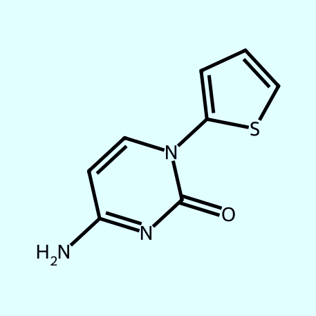 Nc1ccn(-c2cccs2)c(=O)n1